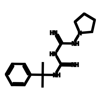 CC(C)(NC(=N)NC(=N)NN1CCCC1)c1ccccc1